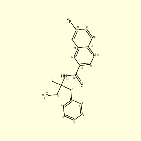 CC(Cc1ccccc1)(CC(F)(F)F)NC(=O)c1cnc2ccc(F)cc2c1